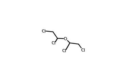 ClCC(Cl)OC(Cl)CCl